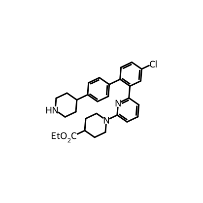 CCOC(=O)C1CCN(c2cccc(-c3cc(Cl)ccc3-c3ccc(C4CCNCC4)cc3)n2)CC1